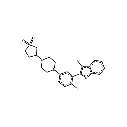 Cn1c(-c2cc(N3CCN(C4CCS(=O)(=O)C4)CC3)ncc2Cl)nc2ccccc21